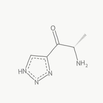 C[C@H](N)C(=O)c1c[nH]nn1